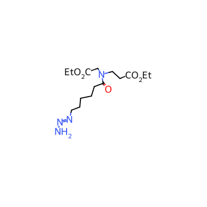 CCOC(=O)CCN(CC(=O)OCC)C(=O)CCCCCN=NN